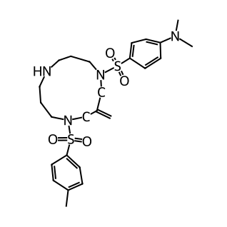 C=C1CN(S(=O)(=O)c2ccc(C)cc2)CCCNCCCN(S(=O)(=O)c2ccc(N(C)C)cc2)C1